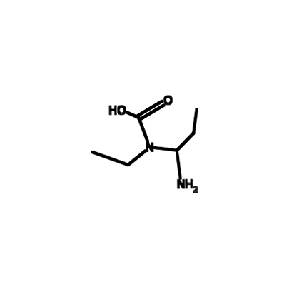 CCC(N)N(CC)C(=O)O